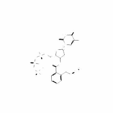 Cc1cn([C@H]2CC(OC(=O)c3ccccc3CN=[N+]=[N-])[C@@H](COP(=O)(O)OP(=O)(O)OP(=O)(O)O)O2)c(=O)[nH]c1=O